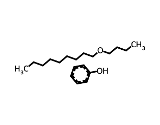 CCCCCCCCCOCCCC.Oc1ccccc1